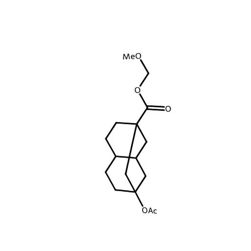 COCOC(=O)C12CCC3CCC(OC(C)=O)(CC3C1)C2